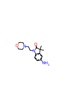 CC1(C)C(=O)N(CCN2CCOCC2)c2ccc(N)cc21